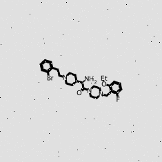 CCOc1cccc(F)c1CN1CCN(C(=O)[C@H](N)C2CCN(CCc3ccccc3Br)CC2)CC1